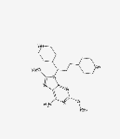 CCCCOc1nc(N)c2nc(OC)n(C(CCC3CCNCC3)C3CCNCC3)c2n1